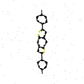 CC(=O)c1ccc(-c2cc3cc4sc(-c5ccc(C(C)=O)cc5)cc4cc3s2)cc1